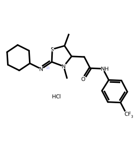 CC1S/C(=N\C2CCCCC2)N(C)C1CC(=O)Nc1ccc(C(F)(F)F)cc1.Cl